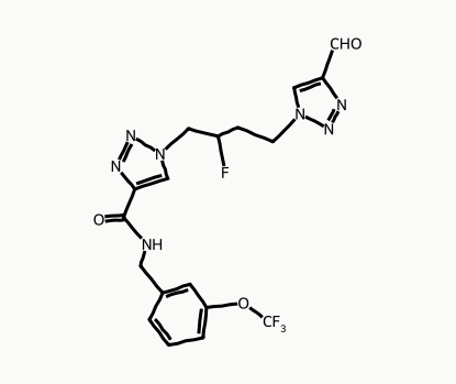 O=Cc1cn(CCC(F)Cn2cc(C(=O)NCc3cccc(OC(F)(F)F)c3)nn2)nn1